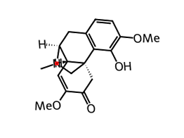 COC1=C[C@@H]2[C@@H]3Cc4ccc(OC)c(O)c4[C@@]2(CC1=O)CN3C